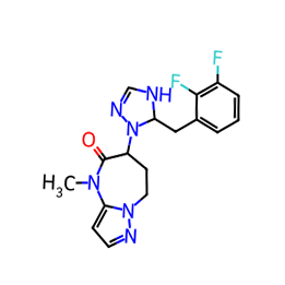 CN1C(=O)C(N2N=CNC2Cc2cccc(F)c2F)CCn2nccc21